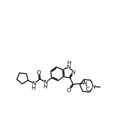 CN1CC2CCC1CN2C(=O)c1n[nH]c2ccc(NC(=O)NC3CCCC3)cc12